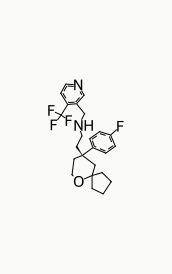 Fc1ccc([C@@]2(CCNCc3cnccc3C(F)(F)F)CCOC3(CCCC3)C2)cc1